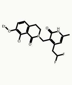 CCOc1ccc2c(c1Cl)C(=O)N(Cc1c(CC(F)F)cc(C)[nH]c1=O)CC2